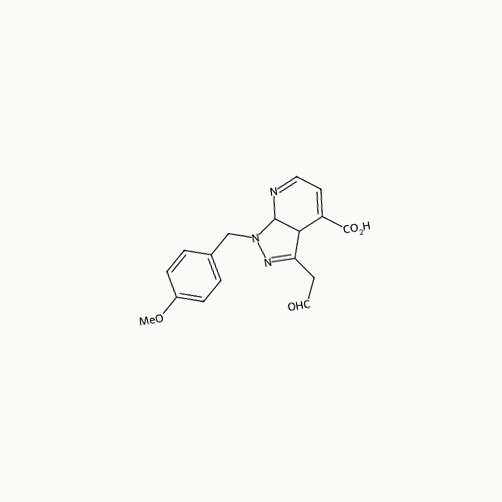 COc1ccc(CN2N=C(CC=O)C3C(C(=O)O)=CC=NC32)cc1